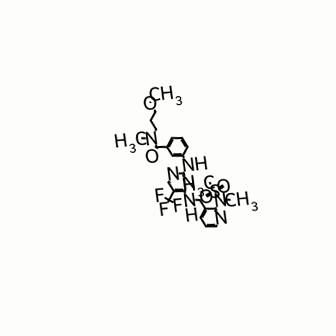 COCCCN(C)C(=O)c1cccc(Nc2ncc(C(F)(F)F)c(NCc3cccnc3N(C)S(C)(=O)=O)n2)c1